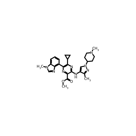 COC(=O)c1nc(-c2cccc3c2ncn3C)c(C2CC2)nc1Nc1cn(C2CCN(C)CC2)nc1C